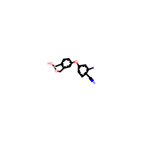 N#Cc1ccc(Oc2ccc3c(c2)COB3O)cc1I